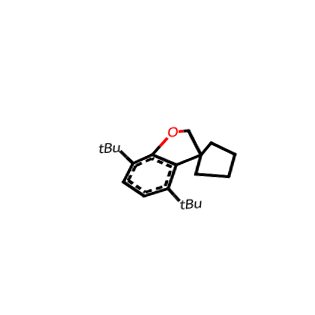 CC(C)(C)c1ccc(C(C)(C)C)c2c1OCC21CCCC1